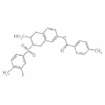 Cc1ccc(C(=O)Oc2ccc3c(c2)CN(S(=O)(=O)c2ccc(C)c(F)c2)C(C(=O)O)C3)cc1